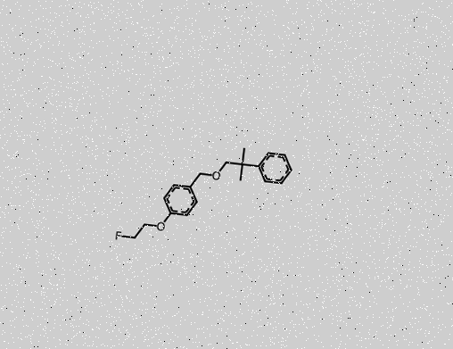 CC(C)(COCc1ccc(OCCF)cc1)c1ccccc1